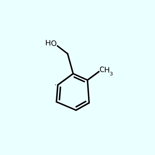 Cc1ccc[c]c1CO